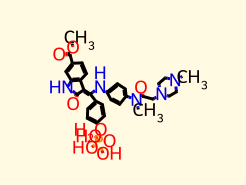 COC(=O)c1ccc2c(c1)NC(=O)C2=C(Nc1ccc(N(C)C(=O)CN2CCN(C)CC2)cc1)c1ccccc1.O.O=P(O)(O)O